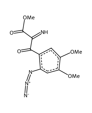 COC(=O)C(=N)C(=O)c1cc(OC)c(OC)cc1N=[N+]=[N-]